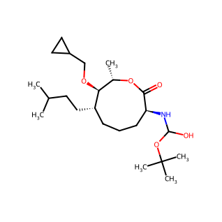 CC(C)CC[C@H]1CCC[C@H](NC(O)OC(C)(C)C)C(=O)O[C@@H](C)[C@@H]1OCC1CC1